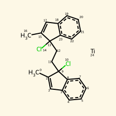 CC1=Cc2ccccc2C1(Cl)CCC1(Cl)C(C)=Cc2ccccc21.[Ti]